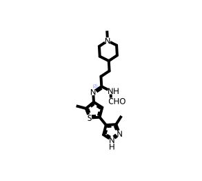 Cc1n[nH]cc1-c1cc(/N=C(/CCC2CCN(C)CC2)NC=O)c(C)s1